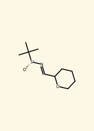 CC(C)(C)[S@@+]([O-])N=CC1CCCCO1